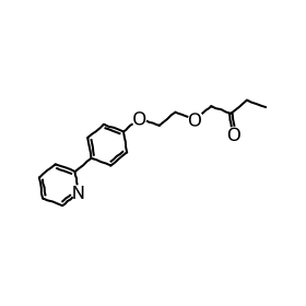 CCC(=O)COCCOc1ccc(-c2ccccn2)cc1